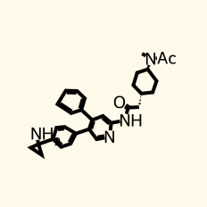 CC(=O)N(C)[C@H]1CC[C@H](CC(=O)Nc2cc(-c3ccccc3)c(-c3ccc(C4(N)CC4)cc3)cn2)CC1